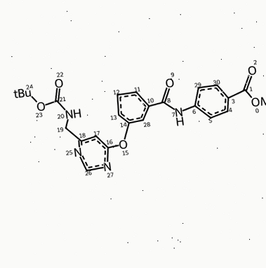 COC(=O)c1ccc(NC(=O)c2cccc(Oc3cc(CNC(=O)OC(C)(C)C)ncn3)c2)cc1